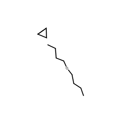 C1CC1.CCCCOCCCC